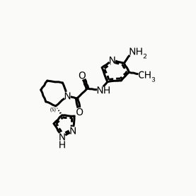 Cc1cc(NC(=O)C(=O)N2CCCC[C@H]2c2cn[nH]c2)cnc1N